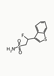 NS(=O)(=O)CC(F)c1csc2ccccc12